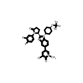 [2H]C([2H])([2H])O[C@H]1CC[C@H](n2c([C@@H]3CCC(=O)N3c3ccc(F)c(F)c3)nc3cc(-c4cc(Cl)c(=O)n(C)c4)ccc32)CC1